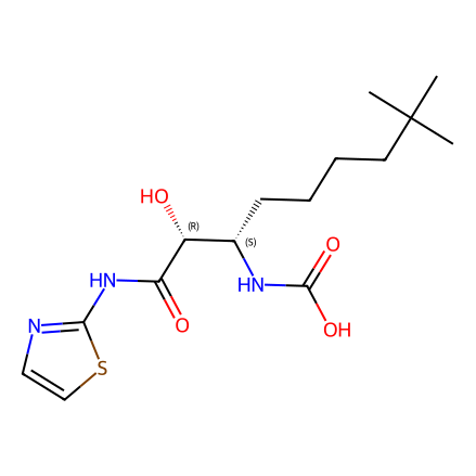 CC(C)(C)CCCC[C@H](NC(=O)O)[C@@H](O)C(=O)Nc1nccs1